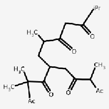 CC(=O)C(C)C(=O)CC(CC(C)C(=O)CC(=O)C(C)C)C(=O)C(C)(C)C(C)=O